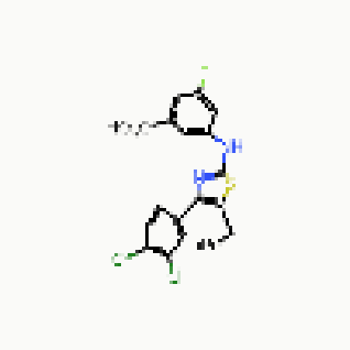 CC(C)Cc1sc(Nc2cc(F)cc(C(=O)O)c2)nc1-c1ccc(Cl)c(Cl)c1